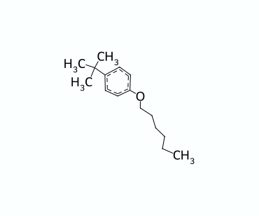 CCCCCCOc1ccc(C(C)(C)C)cc1